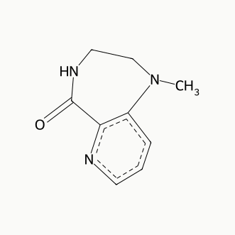 CN1CCNC(=O)c2ncccc21